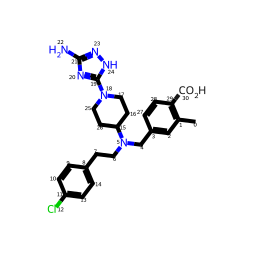 Cc1cc(CN(CCc2ccc(Cl)cc2)C2CCN(c3nc(N)n[nH]3)CC2)ccc1C(=O)O